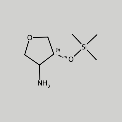 C[Si](C)(C)O[C@H]1COCC1N